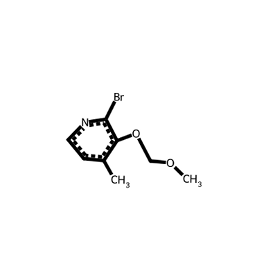 COCOc1c(C)ccnc1Br